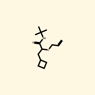 C=CCOC(CC1CCC1)C(=O)NC(C)(C)C